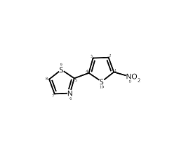 O=[N+]([O-])c1ccc(-c2nccs2)s1